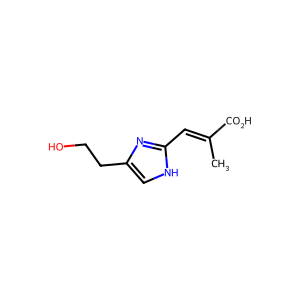 CC(=Cc1nc(CCO)c[nH]1)C(=O)O